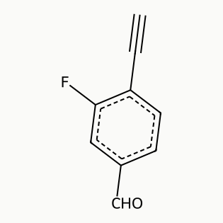 C#Cc1ccc(C=O)cc1F